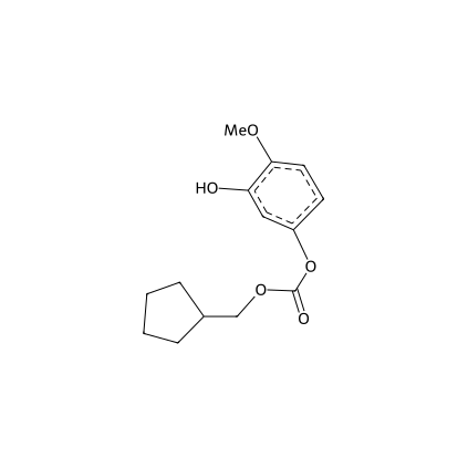 COc1ccc(OC(=O)OCC2CCCC2)cc1O